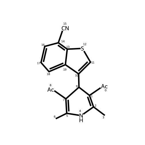 CC(=O)C1=C(C)NC(C)=C(C(C)=O)C1c1csc2c(C#N)cccc12